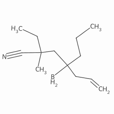 BC(CC=C)(CCC)CC(C)(C#N)CC